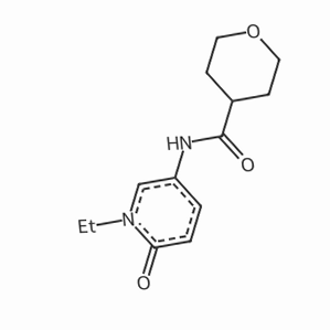 CCn1cc(NC(=O)C2CCOCC2)ccc1=O